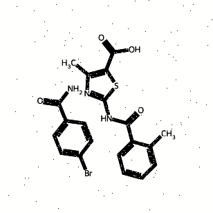 Cc1ccccc1C(=O)Nc1nc(C)c(C(=O)O)s1.NC(=O)c1ccc(Br)cc1